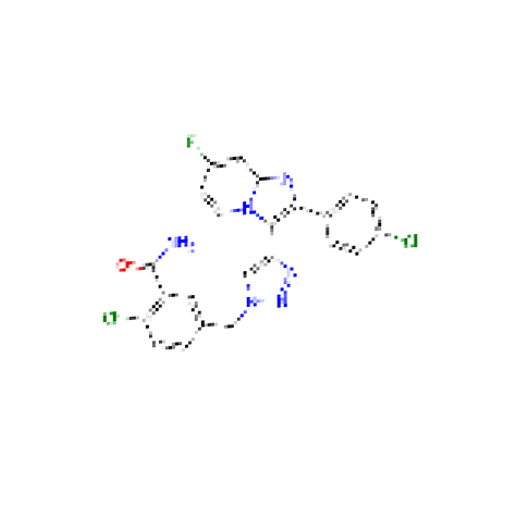 NC(=O)c1cc(Cn2cc(-c3c(-c4ccc(Cl)cc4)nc4cc(F)ccn34)nn2)ccc1Cl